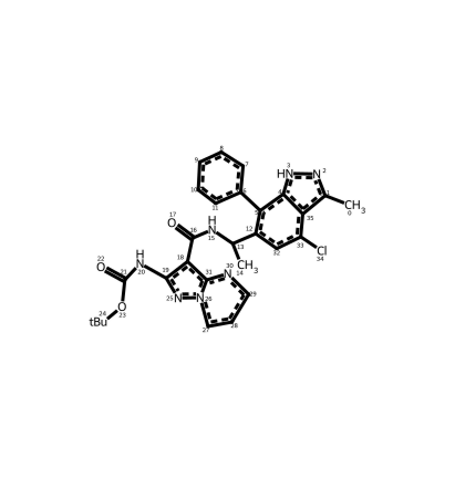 Cc1n[nH]c2c(-c3ccccc3)c(C(C)NC(=O)c3c(NC(=O)OC(C)(C)C)nn4cccnc34)cc(Cl)c12